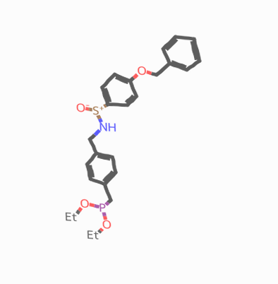 CCOP(Cc1ccc(CN[S+]([O-])c2ccc(OCc3ccccc3)cc2)cc1)OCC